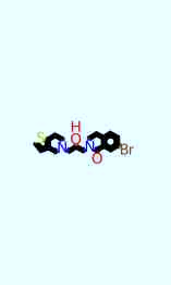 O=C1c2cc(Br)ccc2CCN1CC(O)CN1CCc2sccc2C1